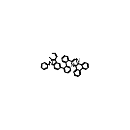 C/C=C\c1c(C)n(-c2ccccc2)c2ccc(-c3ccccc3-c3ccccc3-c3cnc4c5ccccc5c5ccccc5c4n3)cc12